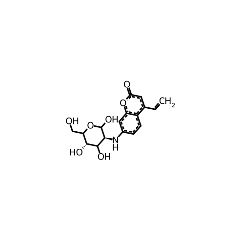 C=Cc1cc(=O)oc2cc(N[C@@H]3C(O)OC(CO)[C@@H](O)C3O)ccc12